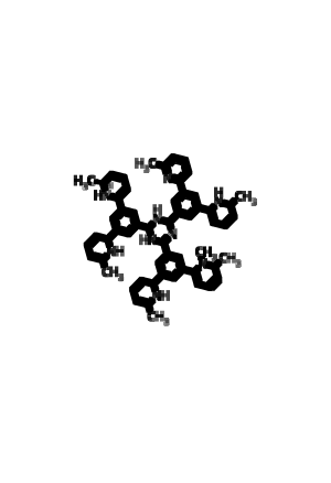 CC1=CC=CC(c2cc(C3=CC#CC(C)N3C)cc(C3=NC(c4cc(C5=CC=CC(C)N5)cc(-c5cccc(C)n5)c4)NC(c4cc(C5=CC=C[C@H](C)N5)cc(C5C=CC=C(C)N5)c4)N3)c2)N1